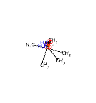 CCCCCCCCCCCCCCC(CCCCCCCCCCCCCC)C(=O)C(SSC[C@H](N)C(=O)OC)(C(=O)C(CCCCCCCCCCCCCC)CCCCCCCCCCCCCC)[C@H](N)C(=O)OC